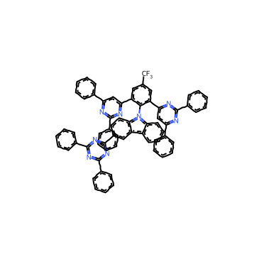 FC(F)(F)c1cc(-c2cc(-c3ccccc3)nc(-c3ccccc3)n2)c(-n2c3ccccc3c3cc(-c4nc(-c5ccccc5)nc(-c5ccccc5)n4)ccc32)c(-c2cc(-c3ccccc3)nc(-c3ccccc3)n2)c1